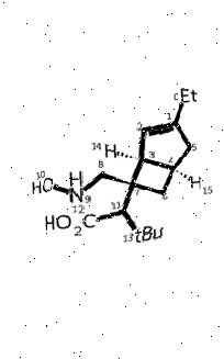 CCC1=C[C@H]2[C@@H](C1)C[C@]2(CNO)C(C(=O)O)C(C)(C)C